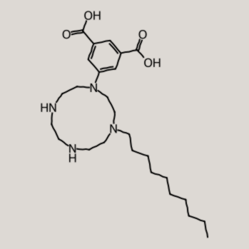 CCCCCCCCCCN1CCNCCNCCN(c2cc(C(=O)O)cc(C(=O)O)c2)CC1